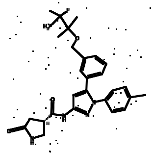 Cc1ccc(-n2nc(NC(=O)[C@@H]3CNC(=O)C3)cc2-c2cccc(COC(C)(C)C(C)(F)P)c2)cc1